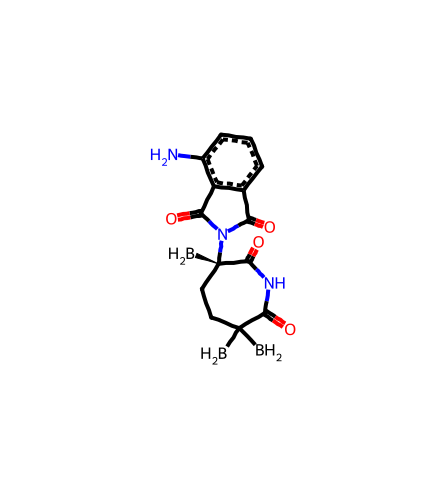 BC1(B)CC[C@](B)(N2C(=O)c3cccc(N)c3C2=O)C(=O)NC1=O